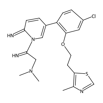 Cc1ncsc1CCOc1cc(Cl)ccc1-c1ccc(=N)n(C(=N)CN(C)C)c1